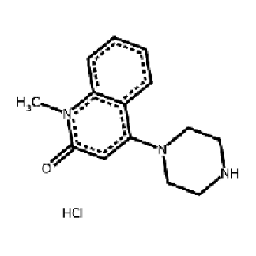 Cl.Cn1c(=O)cc(N2CCNCC2)c2ccccc21